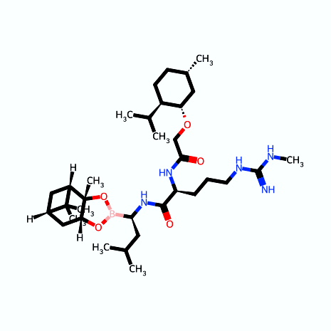 CNC(=N)NCCC[C@H](NC(=O)CO[C@H]1C[C@@H](C)CC[C@@H]1C(C)C)C(=O)N[C@@H](CC(C)C)B1O[C@@H]2C[C@@H]3C[C@@H](C3(C)C)[C@]2(C)O1